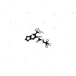 CC(C)c1nc2c(cc1NC(=O)OCC(Cl)(Cl)Cl)CCC2